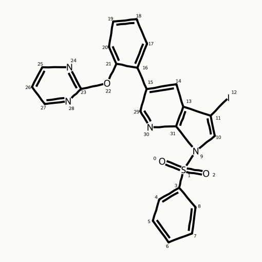 O=S(=O)(c1ccccc1)n1cc(I)c2cc(-c3ccccc3Oc3ncccn3)cnc21